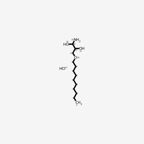 CCCCCCCCCCOCC(O)C(N)O.Cl